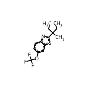 CCC(C)(CC)c1nc2ccc(OC(F)(F)F)cc2s1